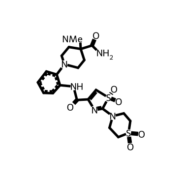 CNC1(C(N)=O)CCN(c2ccccc2NC(=O)C2=CS(=O)(=O)C(N3CCS(=O)(=O)CC3)=N2)CC1